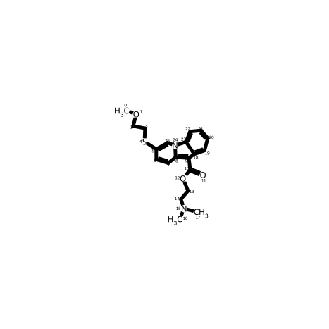 COCCSc1ccc2c(C(=O)OCCN(C)C)c3ccccc3n2c1